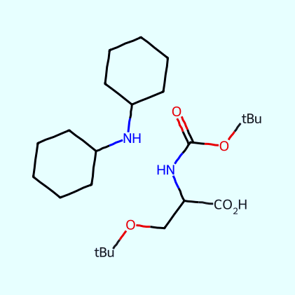 C1CCC(NC2CCCCC2)CC1.CC(C)(C)OCC(NC(=O)OC(C)(C)C)C(=O)O